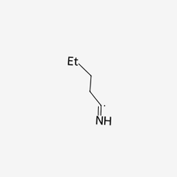 CCCC[C]=N